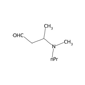 CCCN(C)C(C)C[C]=O